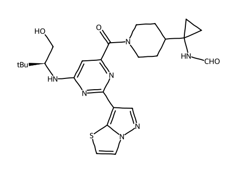 CC(C)(C)[C@@H](CO)Nc1cc(C(=O)N2CCC(C3(NC=O)CC3)CC2)nc(-c2cnn3ccsc23)n1